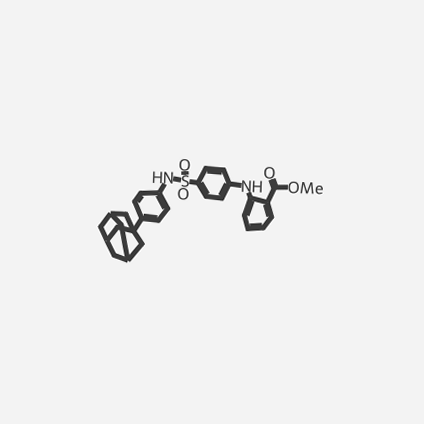 COC(=O)c1ccccc1Nc1ccc(S(=O)(=O)Nc2ccc(C34CC5CC(CC(C5)C3)C4)cc2)cc1